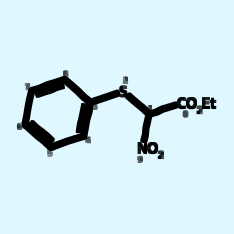 CCOC(=O)C(Sc1ccccc1)[N+](=O)[O-]